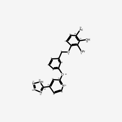 CCCc1c(OCc2cccc(Oc3cc(-c4nnn[nH]4)ccn3)c2)ccc(C(C)=O)c1O